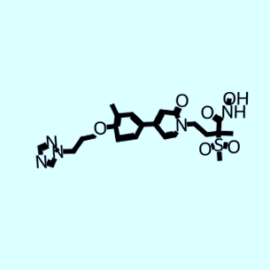 Cc1cc(-c2ccn(CCC(C)(C(=O)NO)S(C)(=O)=O)c(=O)c2)ccc1OCCCn1cncn1